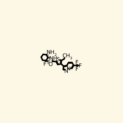 CCc1sc(C(=O)N[C@@H]2[C@@H](N)CCCC2(F)F)cc1-c1cnn2cc(C(F)(F)F)ccc12